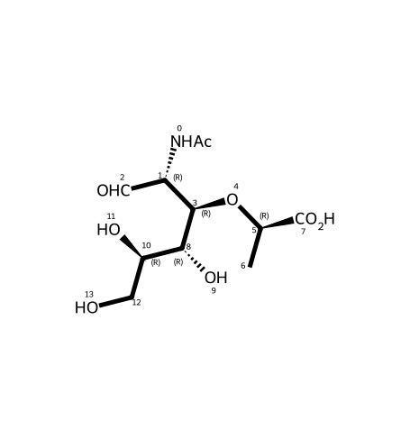 CC(=O)N[C@@H](C=O)[C@@H](O[C@H](C)C(=O)O)[C@H](O)[C@H](O)CO